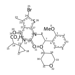 COc1ccccc1C(Cn1c(=O)n(C2(C(C)C(=O)O)CC2)c(=O)c2c(C)c(Br)sc21)OC1CCOCC1